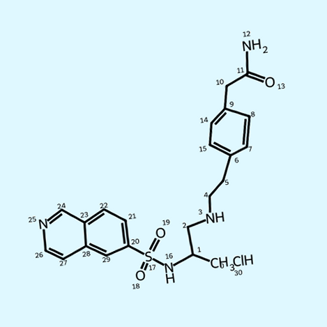 CC(CNCCc1ccc(CC(N)=O)cc1)NS(=O)(=O)c1ccc2cnccc2c1.Cl